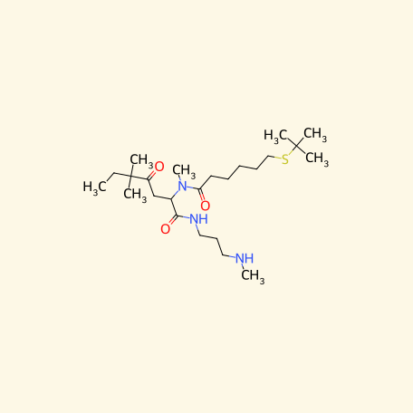 CCC(C)(C)C(=O)CC(C(=O)NCCCNC)N(C)C(=O)CCCCCSC(C)(C)C